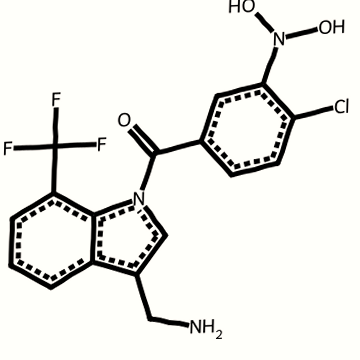 NCc1cn(C(=O)c2ccc(Cl)c(N(O)O)c2)c2c(C(F)(F)F)cccc12